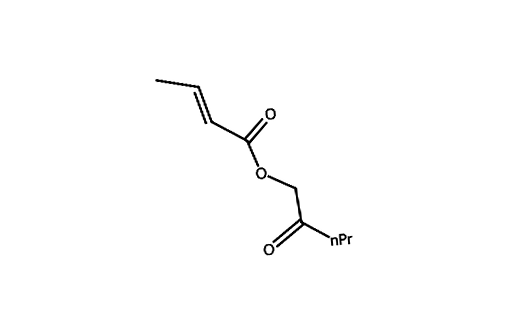 C/C=C/C(=O)OCC(=O)CCC